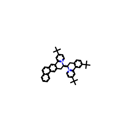 CC(C)(C)c1ccc2c(c1)-c1cc(C(C)(C)C)cc[n+]1/C(=C1\Cc3cc4c(ccc5ccccc54)cc3-c3cc(C(C)(C)C)cc[n+]31)C2